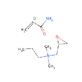 C=CC(N)=O.CCC[N+](C)(C)CC1CO1.[Cl-]